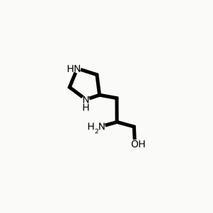 NC(CO)CC1CNCN1